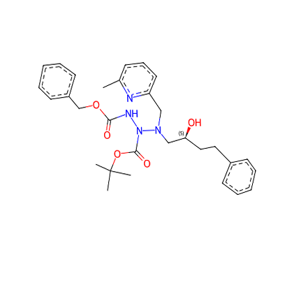 Cc1cccc(CN(C[C@@H](O)CCc2ccccc2)N(NC(=O)OCc2ccccc2)C(=O)OC(C)(C)C)n1